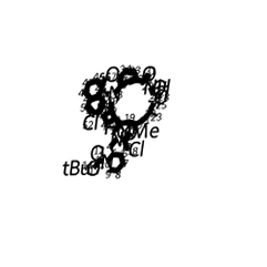 CO[C@]1(CN(C[C@H]2CCCCN2C(=O)OC(C)(C)C)C(=O)CCl)/C=C/C[C@H](C)[C@@H](C)S(=O)(=O)NC(=O)c2ccc3c(c2)N(C[C@@H]2CC[C@H]21)C[C@@]1(CCCc2cc(Cl)ccc21)CO3